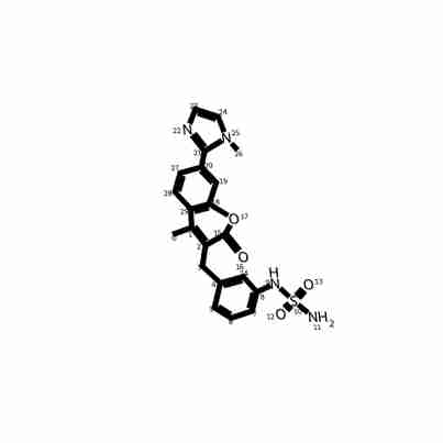 Cc1c(Cc2cccc(NS(N)(=O)=O)c2)c(=O)oc2cc(-c3nccn3C)ccc12